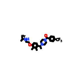 Cc1c(OCCNC(C)C(C)C)ccc(C(C)N2CCN(C(=O)c3ccc(C(F)(F)F)cc3)CC2)c1C